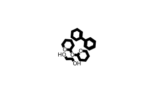 C1=C(c2ccccc2)CCCC1.C1CCC(OC2CCCCO2)OC1.OCCO